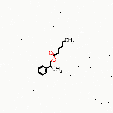 CCCCCC(=O)OCC(C)c1ccccc1